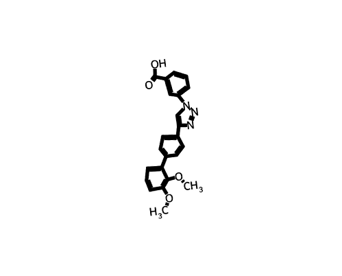 COc1cccc(-c2ccc(-c3cn(-c4cccc(C(=O)O)c4)nn3)cc2)c1OC